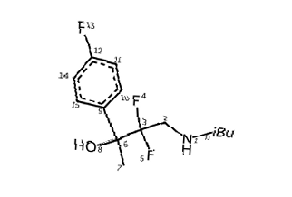 CCC(C)NCC(F)(F)C(C)(O)c1ccc(F)cc1